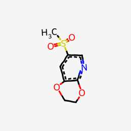 CS(=O)(=O)c1cnc2c(c1)OCCO2